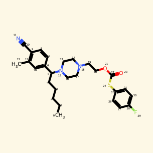 CCCCCC(c1ccc(C#N)c(C)c1)N1CCN(CCOC(=O)Sc2ccc(F)cc2)CC1